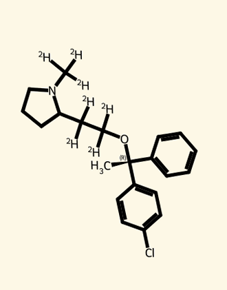 [2H]C([2H])([2H])N1CCCC1C([2H])([2H])C([2H])([2H])O[C@](C)(c1ccccc1)c1ccc(Cl)cc1